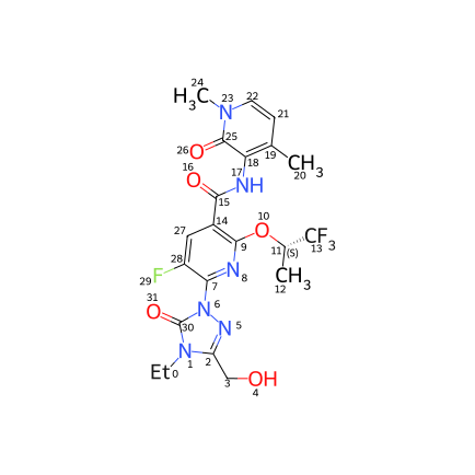 CCn1c(CO)nn(-c2nc(O[C@@H](C)C(F)(F)F)c(C(=O)Nc3c(C)ccn(C)c3=O)cc2F)c1=O